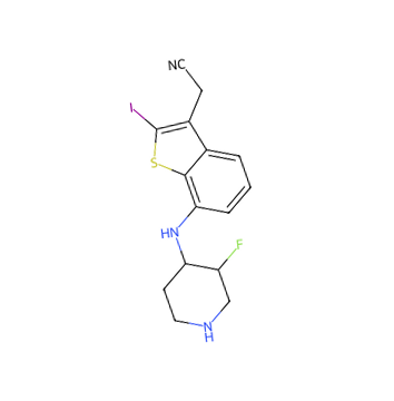 N#CCc1c(I)sc2c(NC3CCNCC3F)cccc12